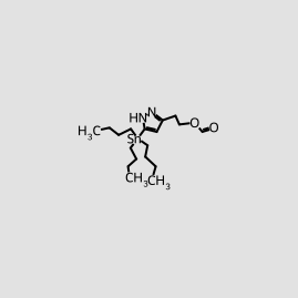 CCC[CH2][Sn]([CH2]CCC)([CH2]CCC)[c]1cc(CCOC=O)n[nH]1